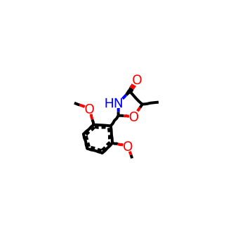 COc1cccc(OC)c1C1NC(=O)C(C)O1